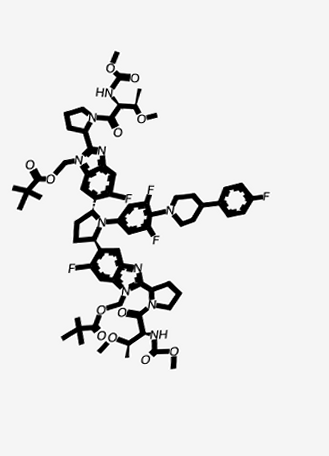 COC(=O)N[C@H](C(=O)N1CCCC1c1nc2cc([C@H]3CC[C@H](c4cc5c(cc4F)nc(C4CCCN4C(=O)[C@@H](NC(=O)OC)[C@@H](C)OC)n5COC(=O)C(C)(C)C)N3c3cc(F)c(N4CCC(c5ccc(F)cc5)CC4)c(F)c3)c(F)cc2n1COC(=O)C(C)(C)C)[C@@H](C)OC